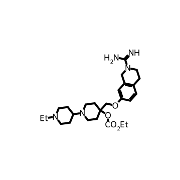 CCOC(=O)OC1(COc2ccc3c(c2)CN(C(=N)N)CC3)CCN(C2CCN(CC)CC2)CC1